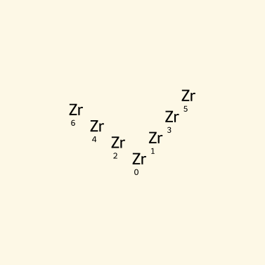 [Zr].[Zr].[Zr].[Zr].[Zr].[Zr].[Zr]